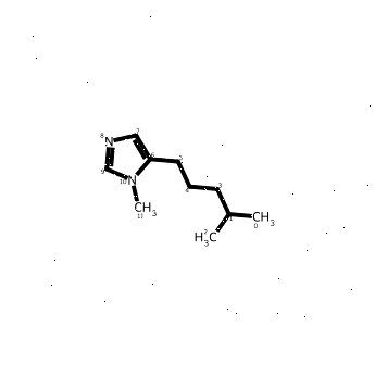 CC(C)CCCc1cncn1C